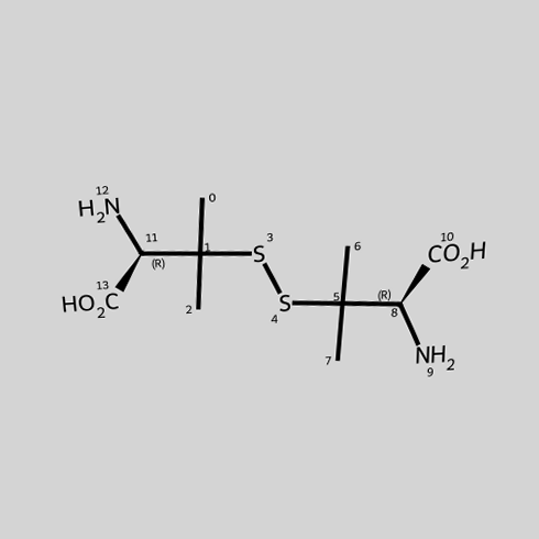 CC(C)(SSC(C)(C)[C@H](N)C(=O)O)[C@H](N)C(=O)O